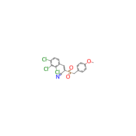 COc1ccc(CS(=O)(=O)C(C#N)=Cc2ccc(Cl)c(Cl)c2Cl)cc1